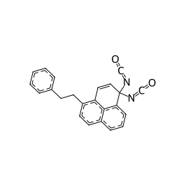 O=C=NC1(N=C=O)C=Cc2c(CCc3ccccc3)ccc3cccc1c23